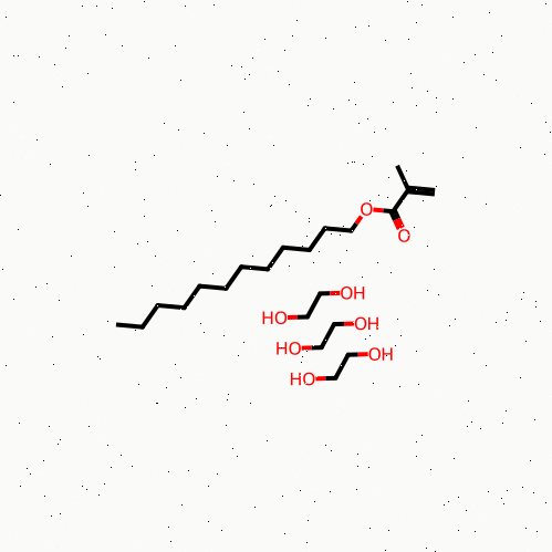 C=C(C)C(=O)OCCCCCCCCCCCC.OCCO.OCCO.OCCO